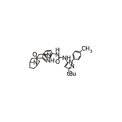 Cc1ccc(-n2nc(C(C)(C)C)cc2NC(=O)Nc2ccc(CC3CC4CCC(C3)N4C(=O)c3cn[nH]c3)cc2)cc1